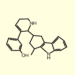 CC1CC(C2NCCC=C2c2cccc(O)c2)Cc2c1[nH]c1ccccc21